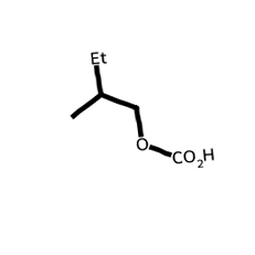 CCC(C)COC(=O)O